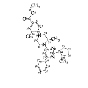 CCOC(=O)c1cnc(N2CCN(c3cc(-c4ccccc4)nc(N4CCCC4C)n3)C(C)C2)c(Cl)c1